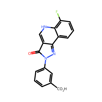 O=C(O)c1cccc(-n2nc3c4cccc(F)c4[nH]cc-3c2=O)c1